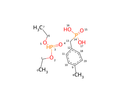 CCO[PH](=O)OCC.Cc1ccc(CP(=O)(O)O)cc1